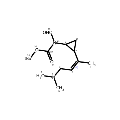 C/C(=C/CN(C)C)C1CC1N(C=O)C(=O)OC(C)(C)C